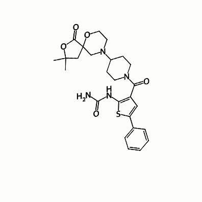 CC1(C)CC2(CN(C3CCN(C(=O)c4cc(-c5ccccc5)sc4NC(N)=O)CC3)CCO2)C(=O)O1